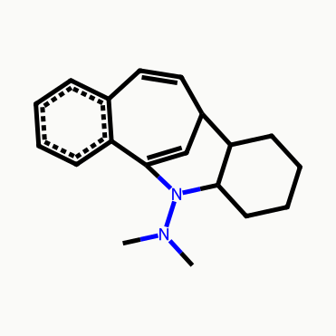 CN(C)N1C2=CC(C=Cc3ccccc32)C2CCCCC21